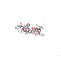 CCC(C(=O)[C@@H](C)[C@@H](O)[C@H](C)[C@@H]1O[C@@H]([C@@H](CC)C(=O)O)CC[C@@H]1C)[C@H]1O[C@]2(C=C[C@@H](NC(=O)C3CCCCC3)[C@]3(CC[C@@](C)([C@H]4CC[C@](O)(CC)[C@H](C)O4)O3)O2)[C@H](C)C[C@@H]1C